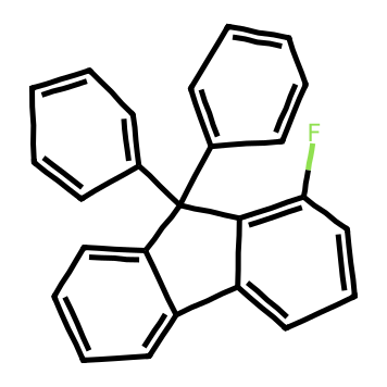 Fc1cccc2c1C(c1ccccc1)(c1ccccc1)c1ccccc1-2